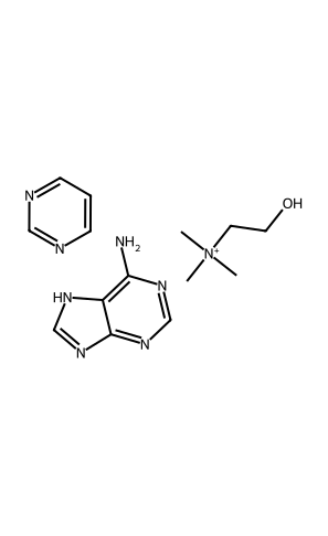 C[N+](C)(C)CCO.Nc1ncnc2nc[nH]c12.c1cncnc1